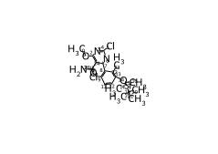 COc1nc(Cl)nc(-c2c(Cl)ccc(O[Si](C)(C)C(C)(C)C)c2C)c1C(N)=O